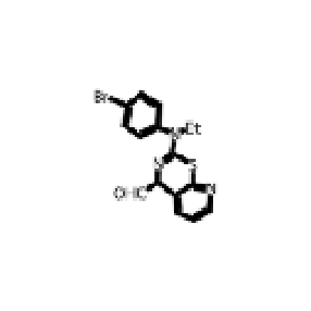 CCN(C1=NC(C=O)c2cccnc2S1)c1ccc(Br)cc1